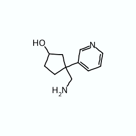 NCC1(c2cccnc2)CCC(O)C1